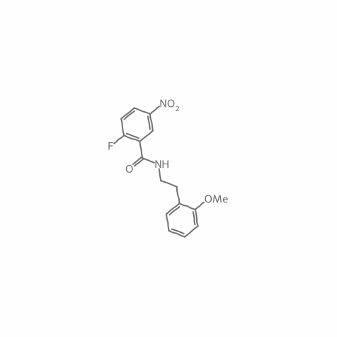 COc1ccccc1CCNC(=O)c1cc([N+](=O)[O-])ccc1F